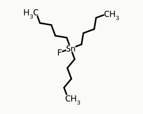 CCCC[CH2][Sn]([F])([CH2]CCCC)[CH2]CCCC